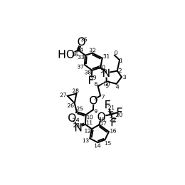 CCC1CC[C@@H](CCOCc2c(-c3ccccc3OC(F)(F)F)noc2C2CC2)N1c1ccc(C(=O)O)cc1F